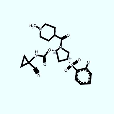 CN1CCC(C(=O)N2C[C@H](S(=O)(=O)c3ccccc3Cl)C[C@@H]2OC(=O)NC2(C#N)CC2)CC1